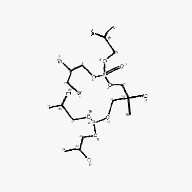 CCC(CBr)COP(=O)(OCC(C)Br)OCC(C)(Cl)COP(OCC(C)Cl)OCC(C)Cl